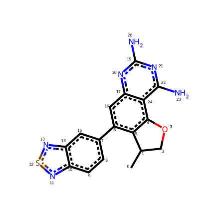 CC1COc2c1c(-c1ccc3nsnc3c1)cc1nc(N)nc(N)c21